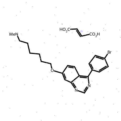 CNCCCCCCOc1ccc2c(-c3ccc(Br)cc3)ncnc2c1.O=C(O)/C=C/C(=O)O